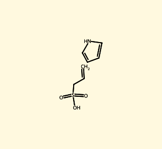 C=CCS(=O)(=O)O.c1cc[nH]c1